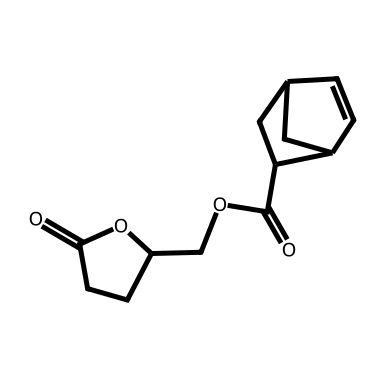 O=C1CCC(COC(=O)C2CC3C=CC2C3)O1